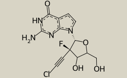 Nc1nc2c(ccn2[C@@H]2OC(CO)C(O)[C@]2(F)C#CCl)c(=O)[nH]1